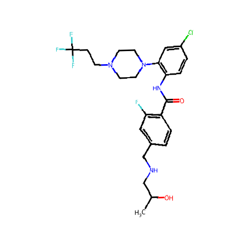 CC(O)CNCc1ccc(C(=O)Nc2ccc(Cl)cc2N2CCN(CCC(F)(F)F)CC2)c(F)c1